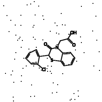 O=C(O)CN1C(=O)C(c2ccccc2Cl)Sc2ccccc21